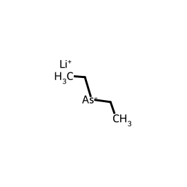 CC[As-]CC.[Li+]